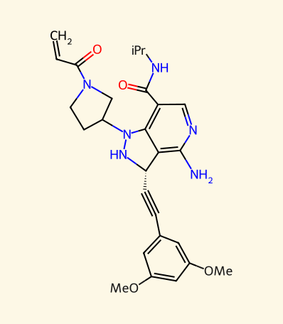 C=CC(=O)N1CCC(N2N[C@@H](C#Cc3cc(OC)cc(OC)c3)c3c(N)ncc(C(=O)NC(C)C)c32)C1